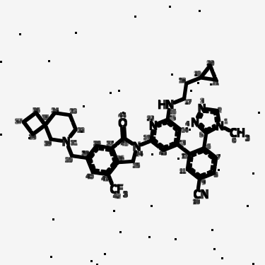 Cn1cnnc1-c1ccc(C#N)cc1-c1cc(NCCC2CC2)nc(N2Cc3c(cc(CN4CCCC5(CCC5)C4)cc3C(F)(F)F)C2=O)c1